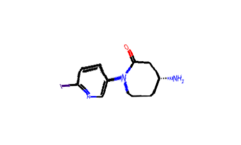 N[C@@H]1CCN(c2ccc(I)nc2)C(=O)C1